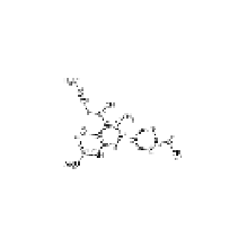 CC#CCN(C)c1c(C)c(-c2ccc(OC(F)(F)F)cc2)cc(NC(=O)OC)c1C#N